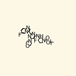 CC(C)(C)OC(=O)N1CCCC(Nc2nc(-c3cnc4ccc(F)cn34)nc(N3CCOCC3)c2F)C1